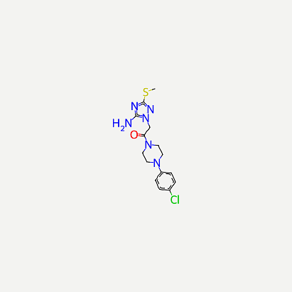 CSc1nc(N)n(CC(=O)N2CCN(c3ccc(Cl)cc3)CC2)n1